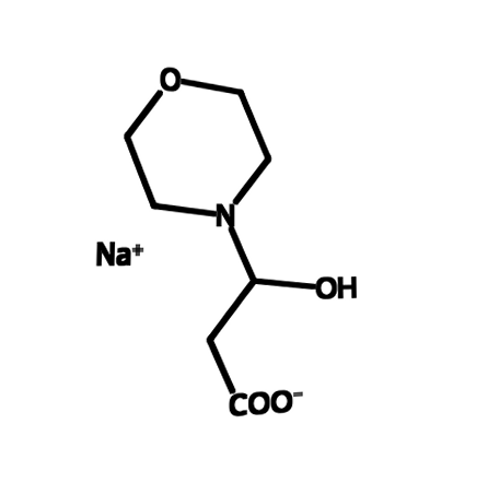 O=C([O-])CC(O)N1CCOCC1.[Na+]